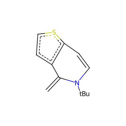 C=C1c2ccsc2C=CN1C(C)(C)C